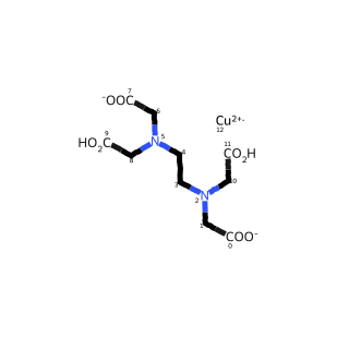 O=C([O-])CN(CCN(CC(=O)[O-])CC(=O)O)CC(=O)O.[Cu+2]